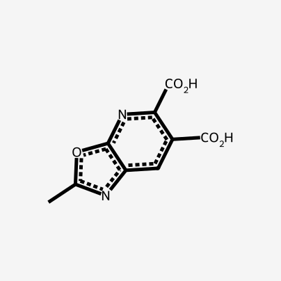 Cc1nc2cc(C(=O)O)c(C(=O)O)nc2o1